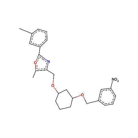 Cc1cccc(-c2nc(COC3CCCC(OCc4cccc([N+](=O)[O-])c4)C3)c(C)o2)c1